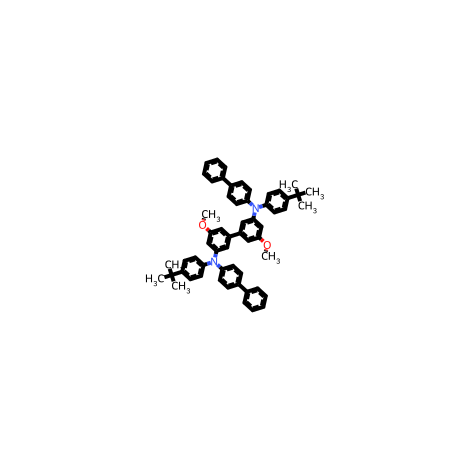 COc1cc(-c2cc(OC)cc(N(c3ccc(-c4ccccc4)cc3)c3ccc(C(C)(C)C)cc3)c2)cc(N(c2ccc(-c3ccccc3)cc2)c2ccc(C(C)(C)C)cc2)c1